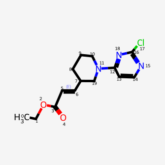 CCOC(=O)/C=C/C1CCCN(c2ccnc(Cl)n2)C1